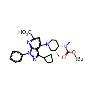 C[C@@H]1CN(c2cc(C(=O)O)nc3c2c(C2CCC2)nn3-c2ccccc2)CC[C@@H]1N(C)C(=O)OC(C)(C)C